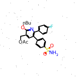 CCCCOc1nc(-c2ccc(F)cc2)c(-c2ccc(S(N)(=O)=O)cc2)cc1COC(C)=O